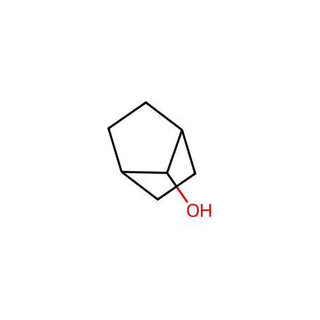 OC1C2CCC1CC2